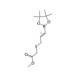 COC(=O)CSC/C=C/B1OC(C)(C)C(C)(C)O1